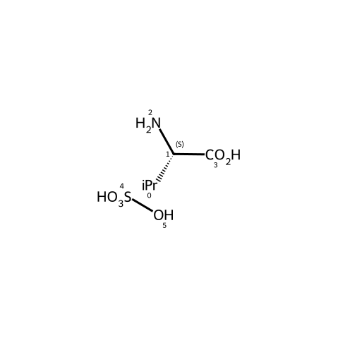 CC(C)[C@H](N)C(=O)O.O=S(=O)(O)O